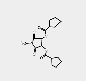 O=C(OC1C(=O)N(O)C(=O)C1OC(=O)C1CCCC1)C1CCCC1